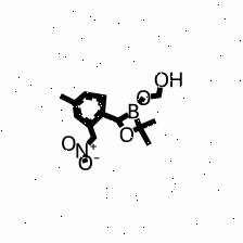 Cc1ccc(C2OC(C)(C)B2OCO)c(C[N+](=O)[O-])c1